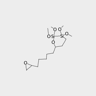 CO[Si]1(OC)CCC(CCCCCC2CO2)O[Si]1(OC)OC